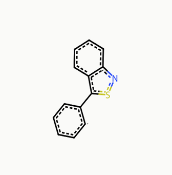 [c]1ccccc1-c1snc2ccccc12